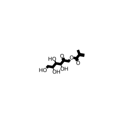 C=C(C)C(=O)OCC(=O)[C@H](O)[C@H](O)[C@H](O)CO